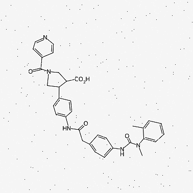 Cc1ccccc1N(C)C(=O)Nc1ccc(CC(=O)Nc2ccc(C3CN(C(=O)c4ccncc4)CC3C(=O)O)cc2)cc1